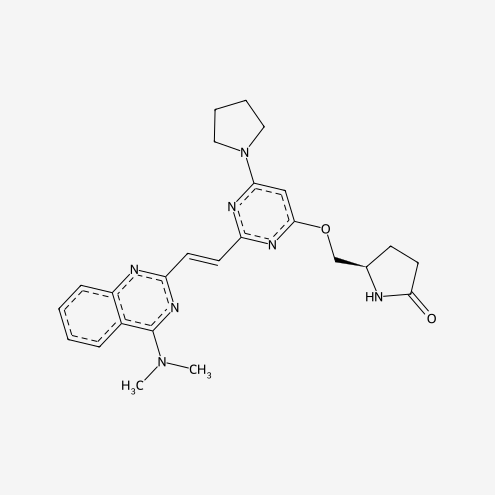 CN(C)c1nc(C=Cc2nc(OC[C@H]3CCC(=O)N3)cc(N3CCCC3)n2)nc2ccccc12